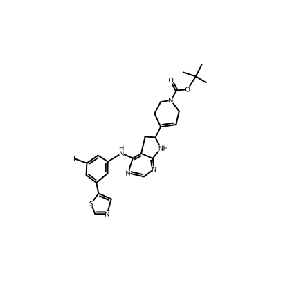 CC(C)(C)OC(=O)N1CC=C(C2Cc3c(Nc4cc(I)cc(-c5cncs5)c4)ncnc3N2)CC1